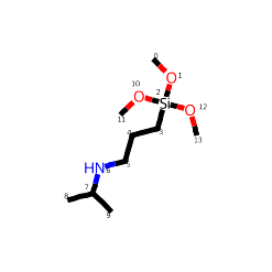 CO[Si](CCCNC(C)C)(OC)OC